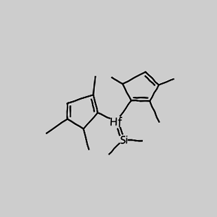 CC1=CC(C)[C]([Hf]([C]2=C(C)C=C(C)C2C)=[Si](C)C)=C1C